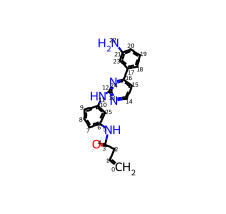 C=CCC(=O)Nc1cccc(Nc2nccc(-c3cccc(N)c3)n2)c1